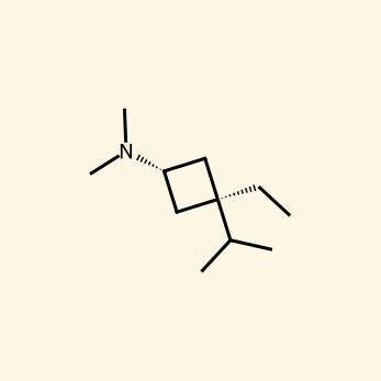 CC[C@]1(C(C)C)C[C@H](N(C)C)C1